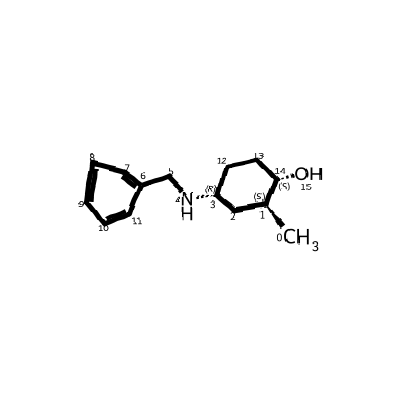 C[C@H]1C[C@H](NCc2ccccc2)CC[C@@H]1O